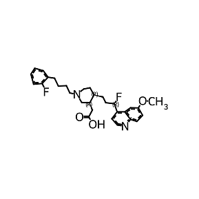 COc1ccc2nccc([C@H](F)CC[C@@H]3CCN(CCCCc4ccccc4F)C[C@@H]3CC(=O)O)c2c1